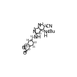 CC(C)(C)Nc1c(C#N)cnc2cnc(NCc3ccc(C[SH](=O)=O)cc3)cc12